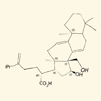 C=C(CC[C@@H](C(=O)O)[C@H]1C[C@H](O)[C@@]2(CO)C3=CCC4C(C)(C)CCC[C@]4(C)C3=CC[C@]12C)C(C)C